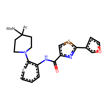 CNC1(C(C)=O)CCN(c2ccccc2NC(=O)c2csc(-c3ccoc3)n2)CC1